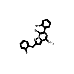 N#Cc1ccccc1-c1nc(N)c2cc(Cc3ccccc3F)nn2c1Br